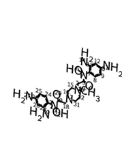 C[N+]1(CC(=O)N(O)c2ccc(N)cc2N)CCN(CC(=O)N(O)c2ccc(N)cc2N)CC1